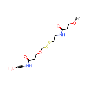 BC#CNC(=O)CCOCSSCCNC(=O)CCOC(C)C